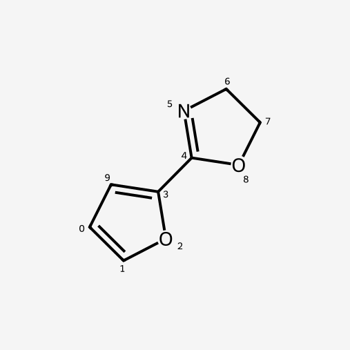 c1coc(C2=NCCO2)c1